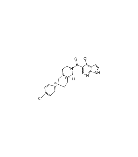 O=C(c1cnc2[nH]ccc2c1Cl)N1CCN2C[C@@H](c3ccc(Cl)cc3)CC[C@@H]2C1